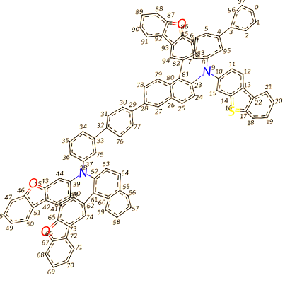 c1ccc(-c2cccc(N(c3ccc4c(c3)sc3ccccc34)c3ccc4cc(-c5ccc(-c6cccc(N(c7ccc8c(c7)oc7ccccc78)c7ccc8ccccc8c7-c7ccc8oc9ccccc9c8c7)c6)cc5)ccc4c3-c3ccc4oc5ccccc5c4c3)c2)cc1